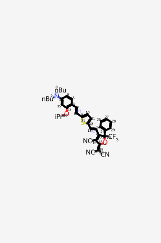 CCCCN(CCCC)c1ccc(/C=C/c2ccc(/C=C/C3=C(C#N)C(=C(C#N)C#N)OC3(c3ccccc3)C(F)(F)F)s2)c(OC(C)C)c1